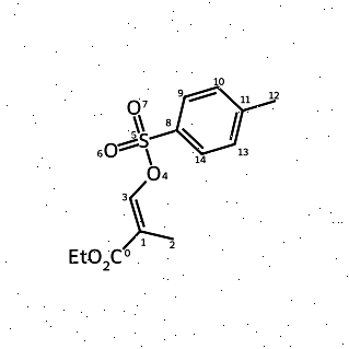 CCOC(=O)C(C)=COS(=O)(=O)c1ccc(C)cc1